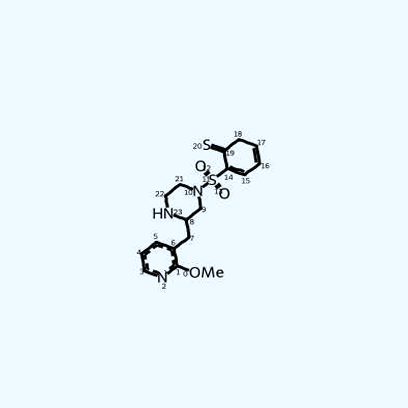 COc1ncccc1CC1CN(S(=O)(=O)C2=CC=CCC2=S)CCN1